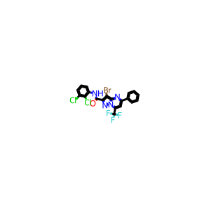 O=C(Nc1cccc(Cl)c1Cl)c1nn2c(C(F)(F)F)cc(-c3ccccc3)nc2c1Br